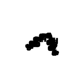 CC(C)C(=O)CSC1CC(=O)N(CCC(=O)NCCC(C)(C)OCCC(C)(C)OCCNC(=O)CCN2C(=O)CC(SCC(=O)C(C)(C)C)C2=O)C1=O